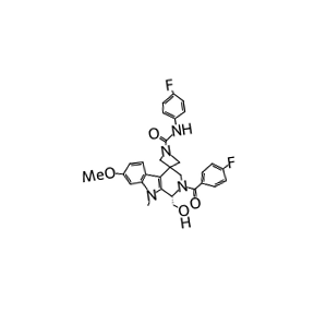 COc1ccc2c3c(n(C)c2c1)[C@@H](CO)N(C(=O)c1ccc(F)cc1)CC31CN(C(=O)Nc2ccc(F)cc2)C1